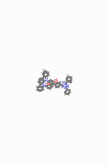 c1ccc(-c2nc(-c3ccccc3)nc(-c3ccc4c(c3)oc3cc(-n5c6ccccc6c6ccc7c8ccccc8n(-c8ccccc8)c7c65)ccc34)n2)cc1